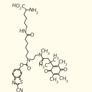 CC1=C(C)C(=O)C(C(C)(C)CC(=O)N(C)CCN(CCCCCC(=O)NCCCCC(N)C(=O)O)C(=O)Oc2ccc3nc(C#N)sc3c2)=C(C)C1=O